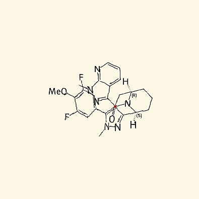 COc1c(F)cc(-c2c3c(nn2C)[C@@H]2CCC[C@H](C3)N2C(=O)c2nn(C)c3ncccc23)cc1F